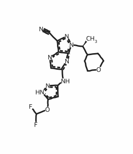 C[C@@H](C1CCOCC1)n1nc(C#N)c2ncc(Nc3cc(OC(F)F)[nH]n3)nc21